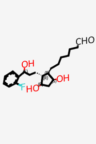 O=CCCCCCC[C@@H]1[C@@H](CC[C@H](O)c2ccccc2F)[C@H](O)C[C@@H]1O